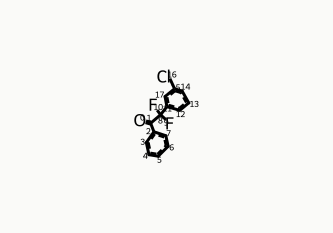 O=C(c1ccccc1)C(F)(F)c1cccc(Cl)c1